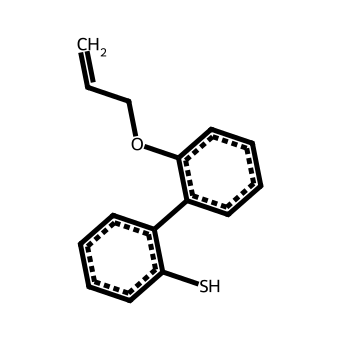 C=CCOc1ccccc1-c1ccccc1S